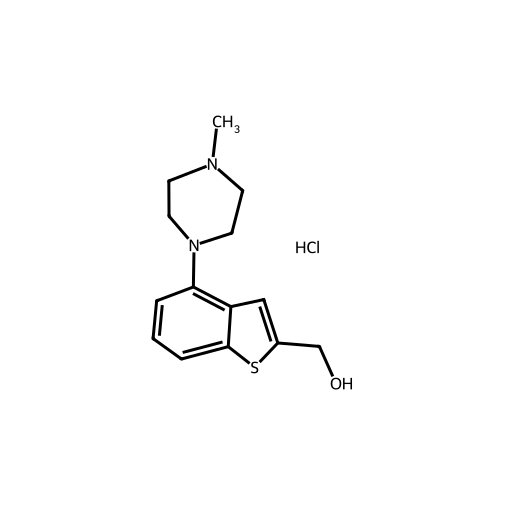 CN1CCN(c2cccc3sc(CO)cc23)CC1.Cl